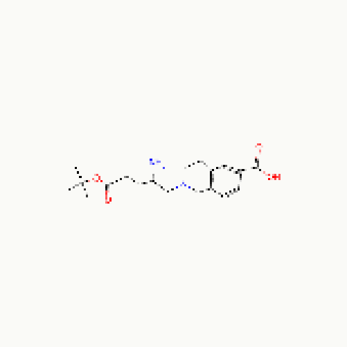 CC(C)(C)OC(=O)CC[C@H](N)CN1CCc2cc(C(=O)O)ccc2C1